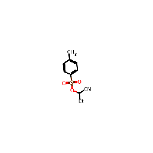 CC[C@H](C#N)OS(=O)(=O)c1ccc(C)cc1